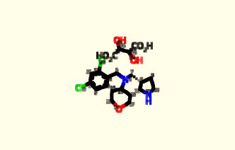 Clc1ccc(CN(C[C@@H]2CCNC2)C2CCOCC2)c(Cl)c1.O=C(O)C(O)C(O)C(=O)O